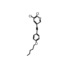 CCCCCOc1ccc(C#Cc2cnc(Cl)c(Cl)c2)cc1